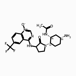 CC(=O)N[C@@H]1C[C@H](N)CC[C@@H]1N1CCC(Nc2nc[n+]([O-])c3ccc(C(F)(F)F)cc23)C1=O